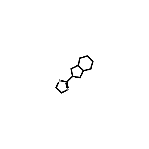 [CH]1CCCC2CC(C3=NCCS3)CC12